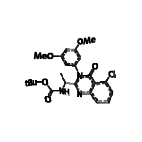 COc1cc(OC)cc(-n2c(C(C)NC(=O)OC(C)(C)C)nc3cccc(Cl)c3c2=O)c1